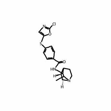 C[C@H]1[C@H](NC(=O)c2ccc(Sc3cnc(Cl)o3)cc2)C2CCN1CC2